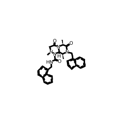 C[C@H]1[C@H]2N(C(=O)CN(C)N2C(=O)NCc2cccc3ccccc23)[C@@H](C)C(=O)N1Cc1cccc2ccccc12